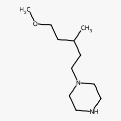 COCCC(C)CCN1CCNCC1